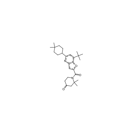 CC1(C)CCC(c2cc(C(C)(C)C)c3oc(C(=O)N4CCC(=O)CC4(C)C)cc3n2)CC1